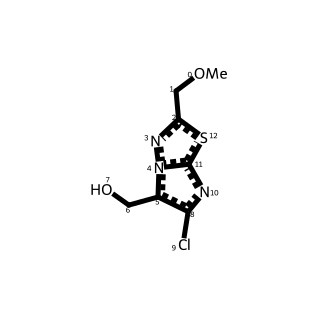 COCc1nn2c(CO)c(Cl)nc2s1